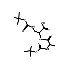 CC(NC(=O)OC(C)(C)C)C(=O)NC(CNC(=O)OC(C)(C)C)C(=O)O